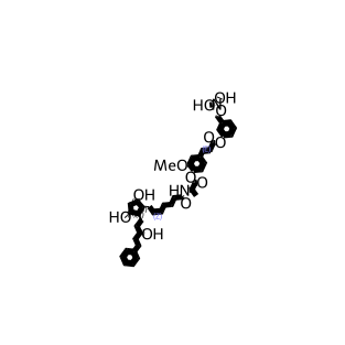 COc1cc(/C=C/C(=O)Oc2cccc(CON(O)O)c2)ccc1OC(=O)C(C)NC(=O)CCC/C=C\C[C@@H]1[C@@H](CC[C@@H](O)CCc2ccccc2)[C@H](O)C[C@@H]1O